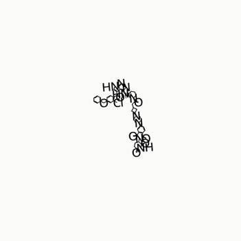 O=C1CCC(N2C(=O)c3ccc(N4CCN(C5CC(CC(=O)N6CCC[C@@H](Nc7ncnc8[nH]cc(C(=O)c9ccc(Oc%10ccccc%10)cc9Cl)c78)C6)C5)CC4)cc3C2=O)C(=O)N1